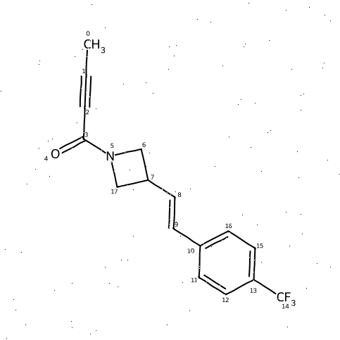 CC#CC(=O)N1CC(C=Cc2ccc(C(F)(F)F)cc2)C1